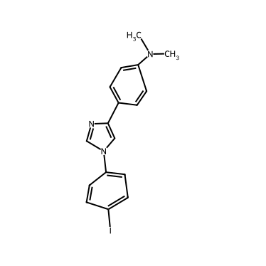 CN(C)c1ccc(-c2cn(-c3ccc(I)cc3)cn2)cc1